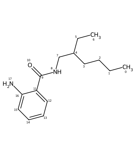 CCCCC(CC)CNC(=O)c1ccccc1N